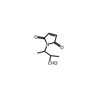 CC(C=O)C(C)N1C(=O)C=CC1=O